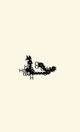 Cc1ncsc1-c1ccc(CNC(=O)[C@@H]2C[C@@H](O)CN2C(=O)[C@@H](NC(=O)CCCCCCCCOc2ccc(-c3cn4c(n3)CCC4)cc2CNC(=O)Cc2ccc(Cl)c(Cl)c2)C(C)(C)C)cc1